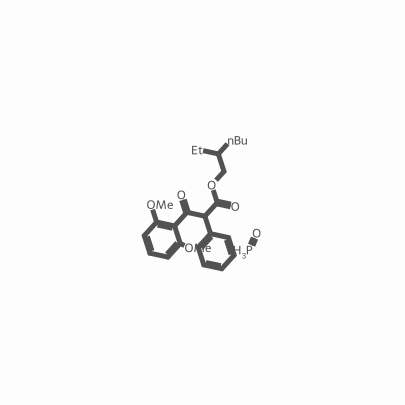 CCCCC(CC)COC(=O)C(C(=O)c1c(OC)cccc1OC)c1ccccc1.O=[PH3]